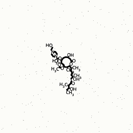 CC[C@H](O)[C@@H](C)[C@H]1O[C@@H]1C[C@@](C)(O)/C=C/C[C@H](C)[C@H]1OC(=O)C[C@H](O)CC[C@@](C)(OC(=O)N2CCN(CCO)CC2)[C@@H](OC(C)=O)/C=C/[C@@H]1C